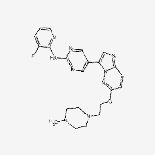 CN1CCN(CCOc2ccc3ncc(-c4cnc(Nc5ncccc5F)nc4)n3n2)CC1